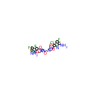 N#Cc1c(N)sc2c(F)ccc(-c3c(F)cc4c(c3Cl)OCCC3CN(CCC(=O)N5CCN6C(=O)c7cc(F)c(-c8ccc(F)c9sc(N)c(C#N)c89)c(Cl)c7OCCC6C5)CCN3C4=O)c12